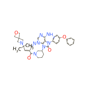 CC(C)(C=C(C#N)C(=O)N1CCC[C@H](n2c(=O)n(-c3ccc(Oc4ccccc4)cc3)c3c(N)ncnc32)C1)N1CC2(COC2)C1